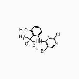 Cc1cccc(Nc2nc(Cl)ncc2Br)c1P(C)(C)=O